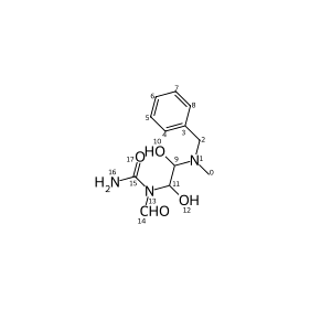 CN(Cc1ccccc1)C(O)C(O)N(C=O)C(N)=O